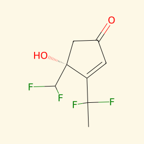 CC(F)(F)C1=CC(=O)C[C@]1(O)C(F)F